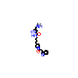 CCNCc1c[nH]c(C(=O)NCCCCC2CCN(C(=O)Cc3cn(C)c4ccccc34)CC2)c1